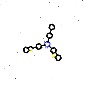 c1ccc(-c2ccc(-c3nc(-c4ccc(-c5cc6ccccc6s5)cc4)nc(-c4ccc5c(c4)sc4ccccc45)n3)cc2)cc1